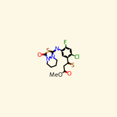 COC(=O)CC(=S)c1cc(/N=c2/sc(=O)n3n2CCCC3)c(F)cc1Cl